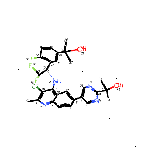 Cc1nc2ccc(-c3cnc(C(C)(C)O)nc3)cc2c(N[C@@H](c2cc(C(C)(C)O)ccc2F)C(F)F)c1Cl